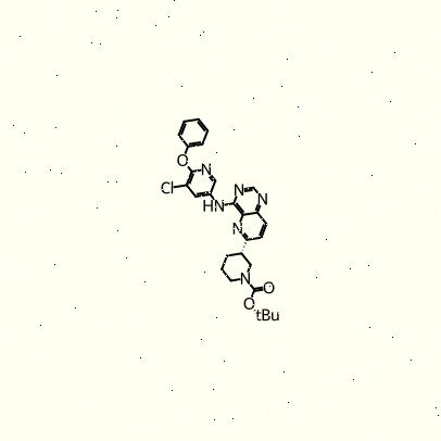 CC(C)(C)OC(=O)N1CCC[C@H](c2ccc3ncnc(Nc4cnc(Oc5ccccc5)c(Cl)c4)c3n2)C1